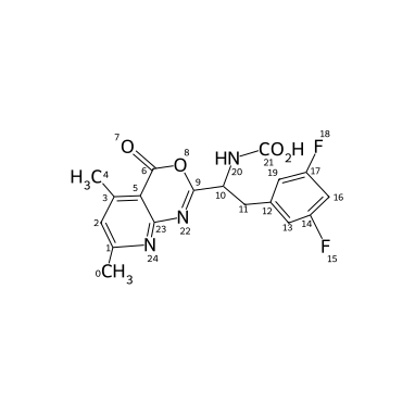 Cc1cc(C)c2c(=O)oc(C(Cc3cc(F)cc(F)c3)NC(=O)O)nc2n1